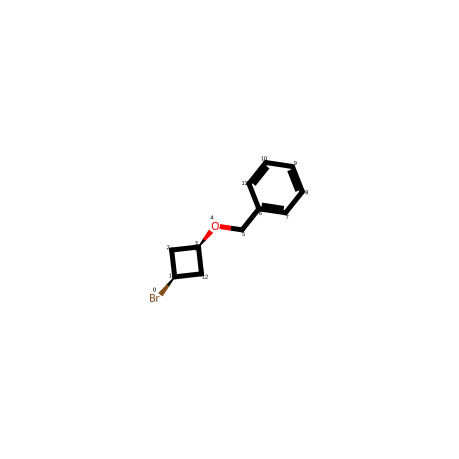 Br[C@H]1C[C@@H](OCc2ccccc2)C1